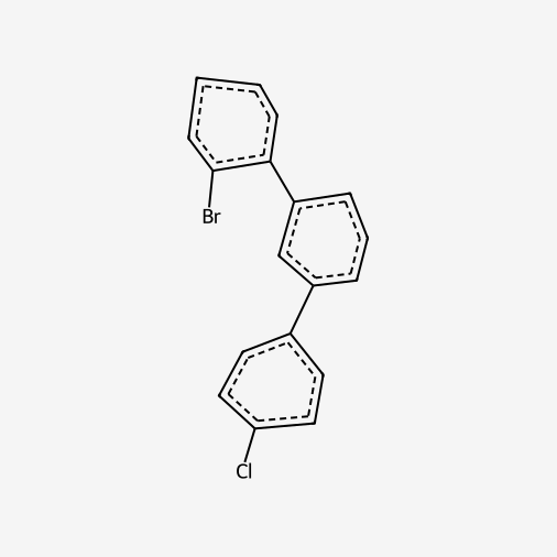 Clc1ccc(-c2cccc(-c3ccccc3Br)c2)cc1